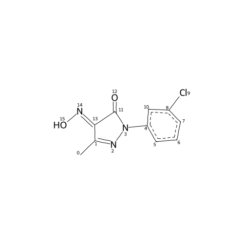 CC1=NN(c2cccc(Cl)c2)C(=O)/C1=N/O